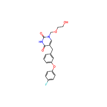 O=c1[nH]c(=O)n(COCCO)cc1Cc1cccc(Oc2ccc(F)cc2)c1